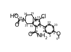 COc1ccc(-c2c(C(N)=O)c3n(c2Cl)CCN(C(=O)O)C3)cc1